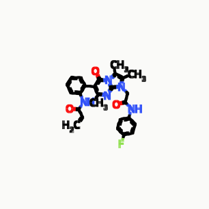 C=CC(=O)Nc1ccccc1-c1c(C)nc2n(CC(=O)Nc3ccc(F)cc3)c(C)c(C)n2c1=O